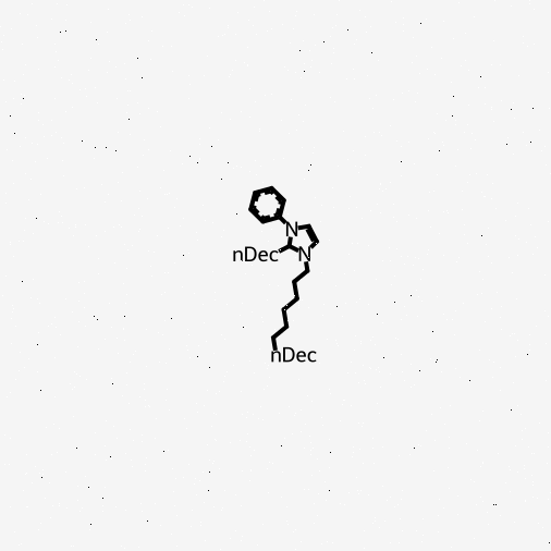 CCCCCCCCCCCCCCCCN1C=CN(c2ccccc2)C1CCCCCCCCCC